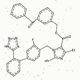 CCCc1nc(CC)c(C(=O)OCc2cccc(C(=O)c3ccccc3)c2)n1Cc1ccc(-c2ccccc2-c2nnn[nH]2)cc1F